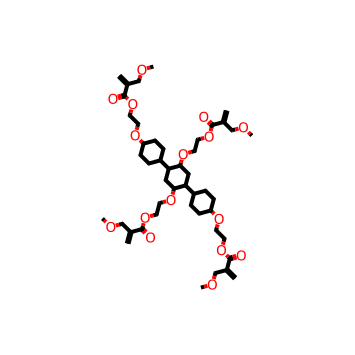 C=C(COC)C(=O)OCCOC1CCC(C2CC(OCCOC(=O)C(=C)COC)C(C3CCC(OCCOC(=O)C(=C)COC)CC3)CC2OCCOC(=O)C(=C)COC)CC1